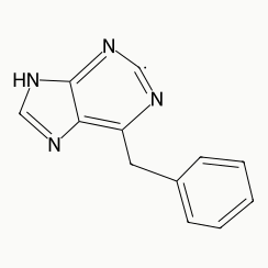 [c]1nc(Cc2ccccc2)c2nc[nH]c2n1